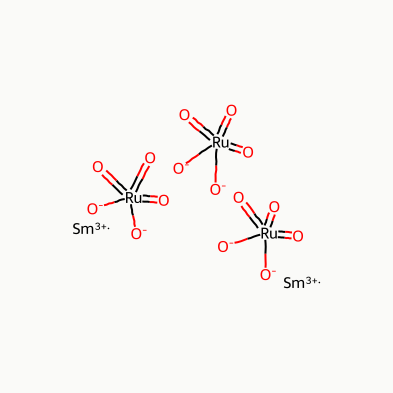 [O]=[Ru](=[O])(=[O])([O-])[O-].[O]=[Ru](=[O])(=[O])([O-])[O-].[O]=[Ru](=[O])(=[O])([O-])[O-].[Sm+3].[Sm+3]